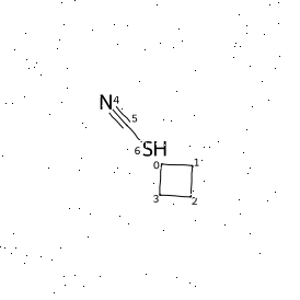 C1CCC1.N#CS